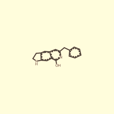 Oc1nc(Cc2ccccc2)cc2cc3c(cc12)NCC3